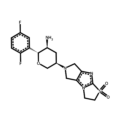 N[C@H]1C[C@@H](N2Cc3nc4n(c3C2)CCS4(=O)=O)CO[C@@H]1c1cc(F)ccc1F